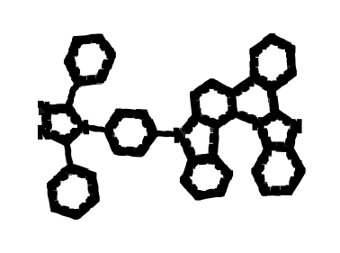 c1ccc(-c2nnc(-c3ccccc3)n2-c2ccc(-n3c4ccccc4c4c3ccc3c5ccccc5c5nc6ccccc6n5c34)cc2)cc1